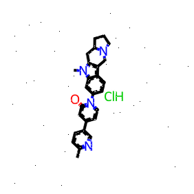 Cc1ccc(-c2ccn(-c3ccc4c5c(n(C)c4c3)CC3CCCN3C5)c(=O)c2)cn1.Cl